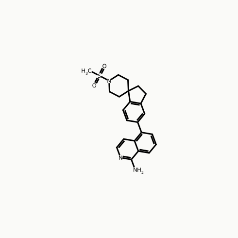 CS(=O)(=O)N1CCC2(CCc3cc(-c4cccc5c(N)nccc45)ccc32)CC1